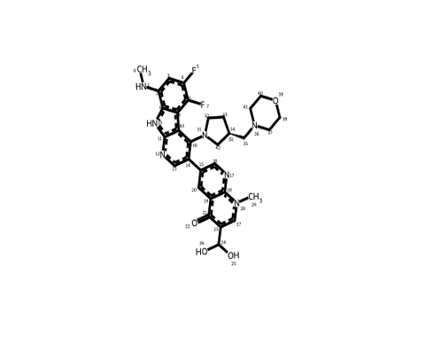 CNc1cc(F)c(F)c2c1[nH]c1ncc(-c3cnc4c(c3)c(=O)c(C(O)O)cn4C)c(N3CC[C@@H](CN4CCOCC4)C3)c12